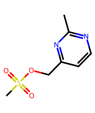 Cc1nccc(COS(C)(=O)=O)n1